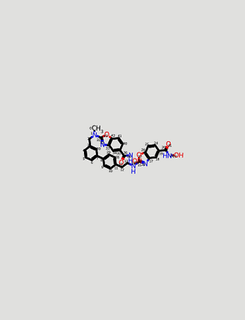 CN(Cc1cccc(-c2ccc(CCNc3nc4cc(C(=O)NO)ccc4o3)cc2)c1)c1nc2cc(C(=O)NO)ccc2o1